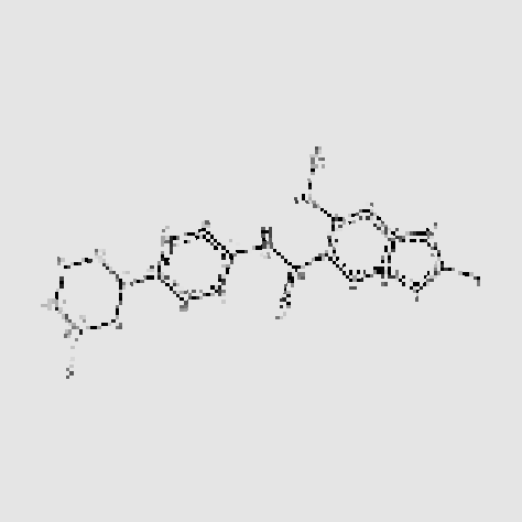 CCOc1cc2nc(C)cn2cc1C(=O)Nc1cnc(N2CCN[C@@H](C)C2)cn1